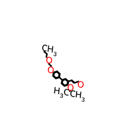 CCCCOCCOc1ccc(-c2ccc(OC(C)C)c(/C=C/C=O)c2)cc1